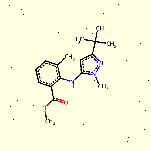 COC(=O)c1cccc(C)c1Nc1cc(C(C)(C)C)nn1C